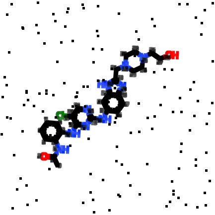 CC(=O)Nc1ccccc1Nc1nc(Nc2ccc3nc(CN4CCN(CCO)CC4)[nH]c3c2)ncc1Cl